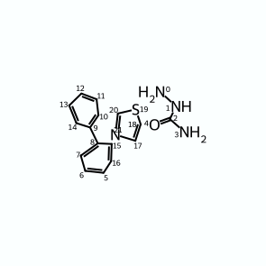 NNC(N)=O.c1ccc(-c2ccccc2)cc1.c1cscn1